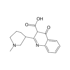 CN1CCCC(C2=Nc3ccccc3C(=O)C2C(=O)O)C1